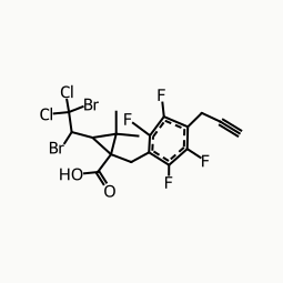 C#CCc1c(F)c(F)c(CC2(C(=O)O)C(C(Br)C(Cl)(Cl)Br)C2(C)C)c(F)c1F